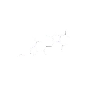 CCO[C@H]1C[C@@H](C(C)CCC2C(F)C[C@@H](C(C)C)N2C(C)C)N(C(C)C)C1